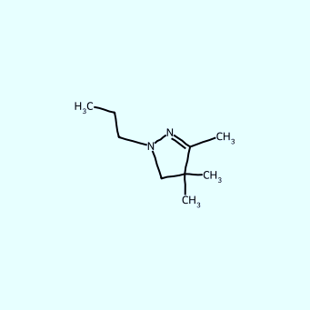 CCCN1CC(C)(C)C(C)=N1